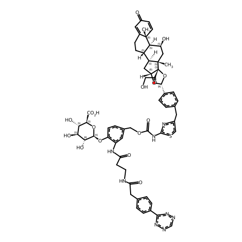 C[C@]12C=CC(=O)C=C1CC[C@@H]1[C@@H]2[C@@H](O)C[C@@]2(C)[C@H]1C[C@H]1O[C@@H](c3ccc(Cc4csc(NC(=O)OCc5ccc(O[C@@H]6O[C@H](C(=O)O)[C@@H](O)[C@H](O)[C@H]6O)c(NC(=O)CCNC(=O)Cc6ccc(-c7nncnn7)cc6)c5)n4)cc3)O[C@]12C(=O)CO